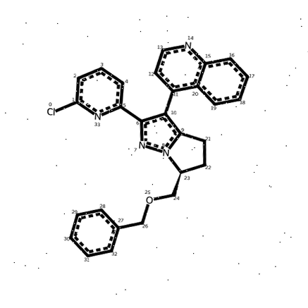 Clc1cccc(-c2nn3c(c2-c2ccnc4ccccc24)CC[C@H]3COCc2ccccc2)n1